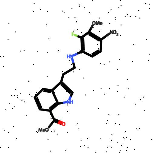 COC(=O)c1cccc2c(CCNc3ccc([N+](=O)[O-])c(OC)c3F)c[nH]c12